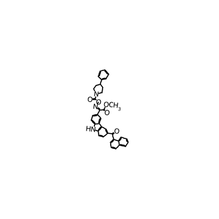 COC(=O)/C(=N\OC(=O)N1CCC(c2ccccc2)CC1)c1ccc2[nH]c3ccc(C(=O)c4cccc5ccccc45)cc3c2c1